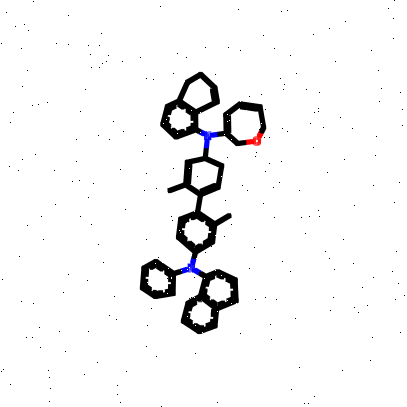 CC1=CC(N(C2=CC=CCOC2)c2cccc3c2C=CCC3)CC=C1c1ccc(N(c2ccccc2)c2cccc3ccccc23)cc1C